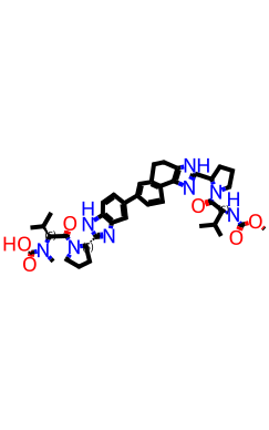 COC(=O)N[C@H](C(=O)N1CCCC1c1nc2c([nH]1)CCc1cc(-c3ccc4[nH]c([C@@H]5CCCN5C(=O)[C@H](C(C)C)N(C)C(=O)O)nc4c3)ccc1-2)C(C)C